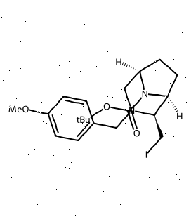 COc1ccc(CN2C[C@H]3CC[C@@H]([C@H]2CI)N3C(=O)OC(C)(C)C)cc1